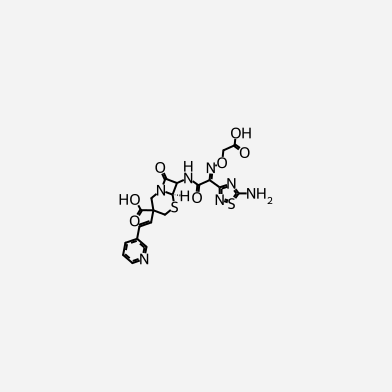 Nc1nc(C(=NOCC(=O)O)C(=O)NC2C(=O)N3CC(C=Cc4cccnc4)(C(=O)O)CS[C@H]23)ns1